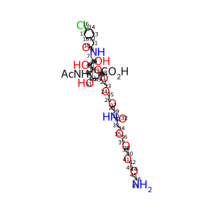 CC(=O)N[C@H]1[C@H]([C@H](O)[C@H](O)CNC(=O)Cc2ccc(Cl)cc2)O[C@@](OCCOCCOCCNC(=O)CCOCCOCCOCCOCCN)(C(=O)O)C[C@@H]1O